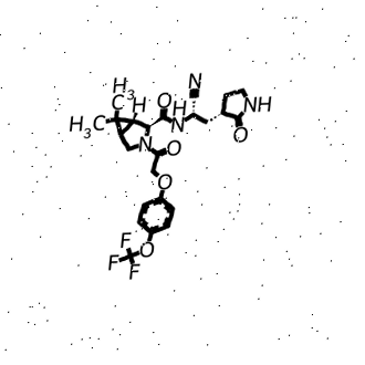 CC1(C)C2CN(C(=O)COc3ccc(OC(F)(F)F)cc3)[C@H](C(=O)N[C@H](C#N)C[C@@H]3CCNC3=O)[C@H]21